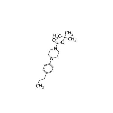 CCCc1ccc(N2CCN(C(=O)OC(C)(C)C)CC2)cc1